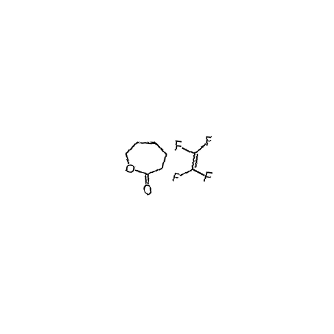 FC(F)=C(F)F.O=C1CCCCCO1